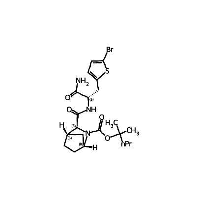 CCCC(C)(C)OC(=O)N1[C@@H]2CC[C@@H](C2)[C@H]1C(=O)N[C@@H](Cc1ccc(Br)s1)C(N)=O